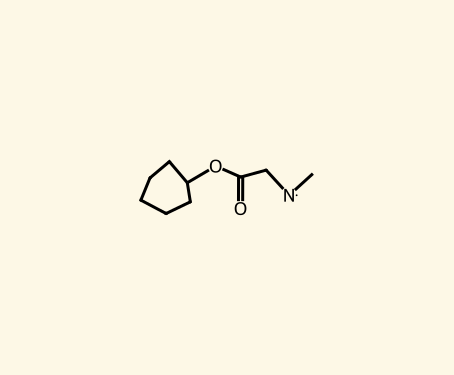 C[N]CC(=O)OC1CCCCC1